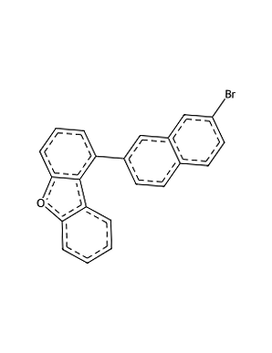 Brc1ccc2ccc(-c3cccc4oc5ccccc5c34)cc2c1